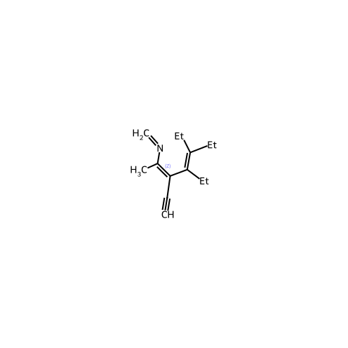 C#C/C(C(CC)=C(CC)CC)=C(\C)N=C